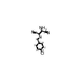 N#C/C(N)=C(C#N)\N=C\c1ccc(Cl)cc1